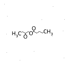 CCCCC(=O)OCC(=O)CC